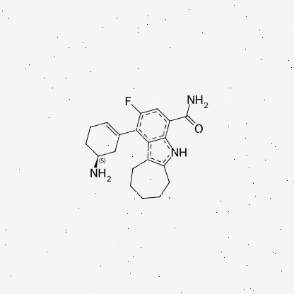 NC(=O)c1cc(F)c(C2=CCC[C@H](N)C2)c2c3c([nH]c12)CCCCC3